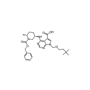 C[C@H]1CC[C@@H](Nc2ncnc3c2c(C(=O)O)cn3COCC[Si](C)(C)C)CN1C(=O)OCc1ccccc1